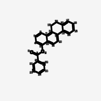 O=C(Oc1cccc2c3c(ccc12)-c1ccccc1CC3)c1cnccn1